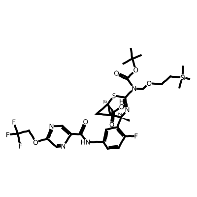 CC(C)(C)OC(=O)N(COCC[Si](C)(C)C)C1=N[C@](C)(c2cc(NC(=O)c3cnc(OCC(F)(F)F)cn3)ccc2F)C2C[C@]2(C(=O)O)S1